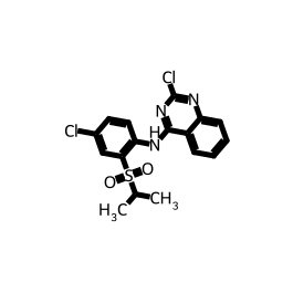 CC(C)S(=O)(=O)c1cc(Cl)ccc1Nc1nc(Cl)nc2ccccc12